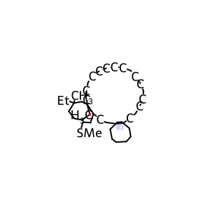 CCC1(C)CCCCC2(CCCCCCCCCCCCCCCC/C3=C(/CCCCCC3)CCC2(C)CCSC)C1